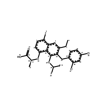 CCc1nc2c(F)ccc(O[C@@H](C)C(=O)O)c2c(OC(F)F)c1Cc1ccc(Cl)cc1Cl